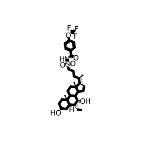 CC[C@H]1[C@@H](O)C2C3CC[C@H]([C@H](C)CCCS(=O)(=O)NC(=O)c4ccc(OC(F)(F)F)cc4)[C@@]3(C)CCC2[C@@]2(C)CC[C@@H](O)C[C@@H]12